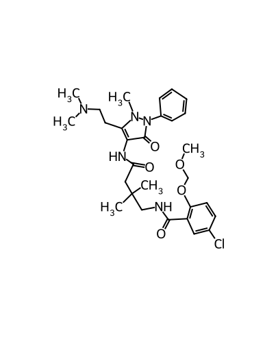 COCOc1ccc(Cl)cc1C(=O)NCC(C)(C)CC(=O)Nc1c(CCN(C)C)n(C)n(-c2ccccc2)c1=O